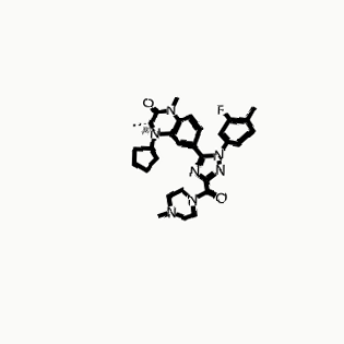 Cc1ccc(-n2nc(C(=O)N3CCN(C)CC3)nc2-c2ccc3c(c2)N(C2CCCC2)[C@H](C)C(=O)N3C)cc1F